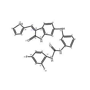 O=C(Nc1cccc(Nc2ccc3c(c2)NC(=O)/C3=C\c2ccc[nH]2)c1)Nc1ccc(F)cc1F